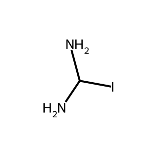 NC(N)I